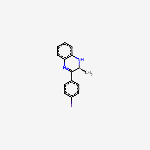 C[C@@H]1Nc2ccccc2N=C1c1ccc(I)cc1